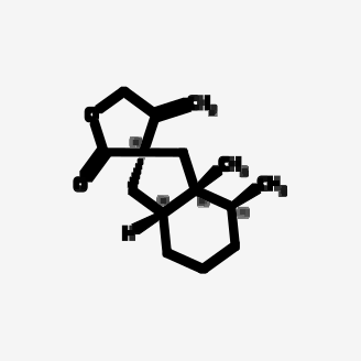 C=C1COC(=O)[C@@]12C[C@H]1CCC[C@H](C)[C@@]1(C)C2